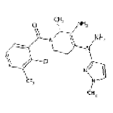 C[C@@H]1C(N)=C(N(N)c2ccn(C)n2)CCN1C(=O)c1cccc(C(F)(F)F)c1Cl